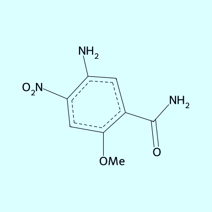 COc1cc([N+](=O)[O-])c(N)cc1C(N)=O